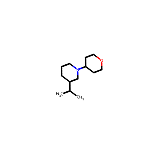 CC(C)C1CCCN(C2CCOCC2)C1